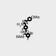 CNC[C@@H](NC(=O)c1ccc(-c2nc(C3CCC(OC)CC3)cnc2N)cc1F)c1cc(F)cc(Br)c1